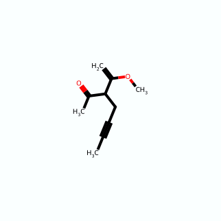 C=C(OC)C(CC#CC)C(C)=O